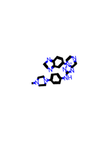 CN1CCN(c2ccc(NC3=N[N+]4(c5ccc6nccnc6c5)C=CN=CC4=N3)cc2)CC1